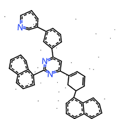 C1=CC(c2cccc3ccccc23)CC(c2cc(-c3cccc(-c4cccnc4)c3)nc(-c3cccc4ccccc34)n2)=C1